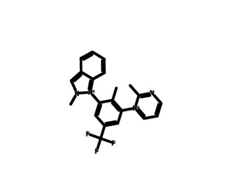 Cc1c(-[n+]2cccnc2C)cc(C(F)(F)F)cc1-[n+]1c2ccccc2cn1C